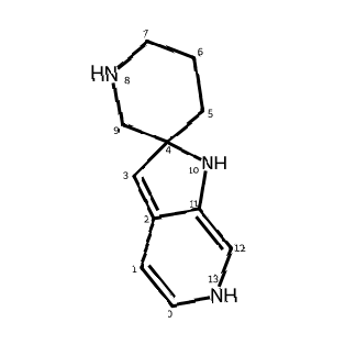 C1=CC2=CC3(CCCNC3)NC2=CN1